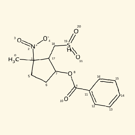 CC1([N+](=O)[O-])CCC(OC(=O)c2ccccc2)C1C[SH](=O)=O